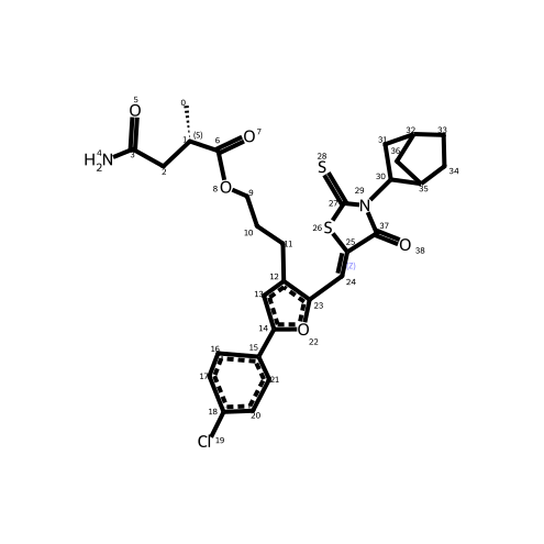 C[C@@H](CC(N)=O)C(=O)OCCCc1cc(-c2ccc(Cl)cc2)oc1/C=C1\SC(=S)N(C2CC3CCC2C3)C1=O